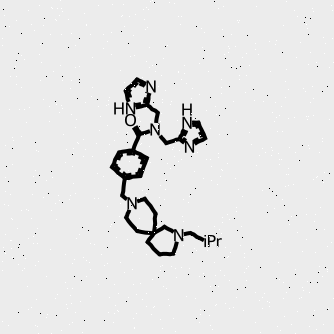 CC(C)CN1CCCC2(CCN(Cc3ccc(C(=O)N(Cc4ncc[nH]4)Cc4ncc[nH]4)cc3)CC2)C1